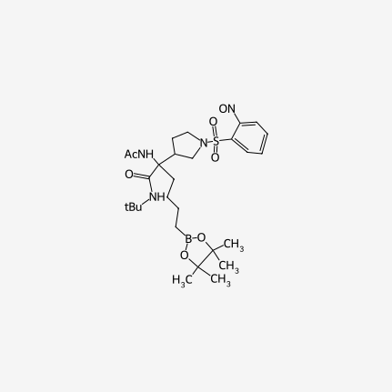 CC(=O)NC(CCCCB1OC(C)(C)C(C)(C)O1)(C(=O)NC(C)(C)C)C1CCN(S(=O)(=O)c2ccccc2N=O)C1